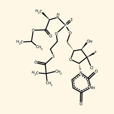 CC(C)OC(=O)[C@@H](C)NP(=S)(OCCSC(=O)C(C)(C)C)OC[C@H]1O[C@@H](n2ccc(=O)[nH]c2=O)[C@@](F)(Cl)[C@@H]1O